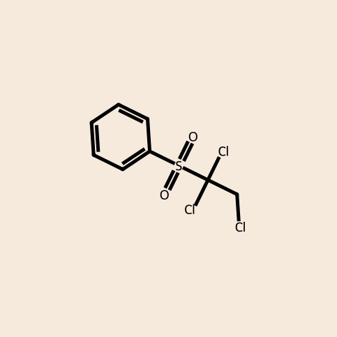 O=S(=O)(c1ccccc1)C(Cl)(Cl)CCl